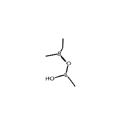 CB(C)OB(C)O